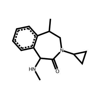 CNC1C(=O)N(C2CC2)CC(C)c2ccccc21